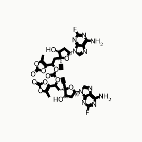 C#C[C@@]1(CC(OC(=O)OC(C[C@]2(C#C)O[C@@H](n3cnc4c(N)nc(F)nc43)C[C@@H]2O)c2oc(=O)oc2C)c2oc(=O)oc2C)O[C@@H](n2cnc3c(N)nc(F)nc32)C[C@@H]1O